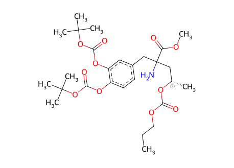 CCCOC(=O)O[C@@H](C)CC(N)(Cc1ccc(OC(=O)OC(C)(C)C)c(OC(=O)OC(C)(C)C)c1)C(=O)OC